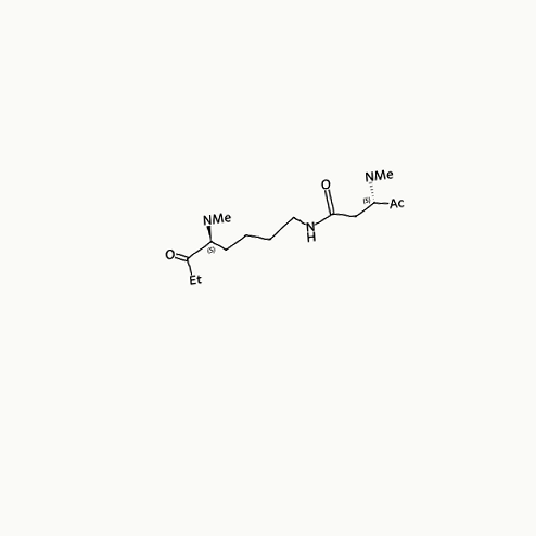 CCC(=O)[C@H](CCCCNC(=O)C[C@H](NC)C(C)=O)NC